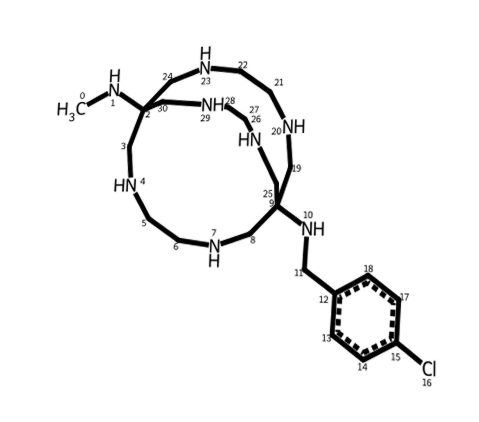 CNC12CNCCNCC(NCc3ccc(Cl)cc3)(CNCCNC1)CNCCNC2